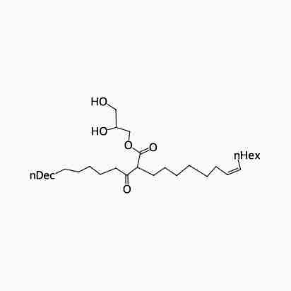 CCCCCC/C=C\CCCCCCC(C(=O)CCCCCCCCCCCCCCC)C(=O)OCC(O)CO